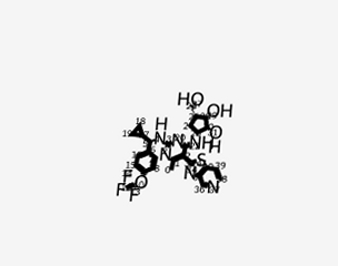 Cc1nc(N[C@@H](c2ccc(OC(F)(F)F)cc2)C2CC2)nc(N[C@@H]2C[C@H](CO)[C@@H](O)[C@H]2O)c1-c1nc2cnccc2s1